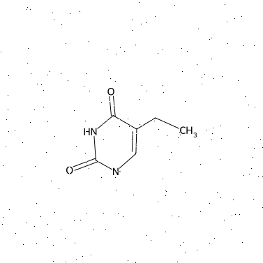 CCC1=C[N]C(=O)NC1=O